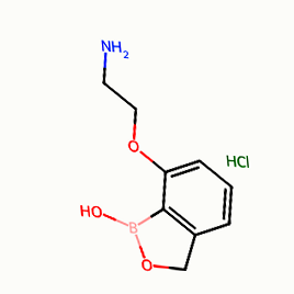 Cl.NCCOc1cccc2c1B(O)OC2